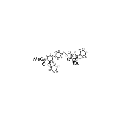 COC(=O)c1ccc(-c2ccc(CCCN(C[C@H](O)c3ccccc3)C(=O)OC(C)(C)C)cc2)cc1OC1CCCCC1